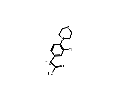 C[C@@H](C(=O)O)c1ccc(N2CCSCC2)c(Cl)c1